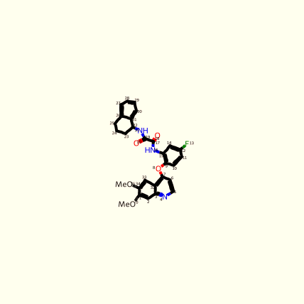 COc1cc2nccc(Oc3ccc(F)cc3NC(=O)C(=O)NC3CCCc4ccccc43)c2cc1OC